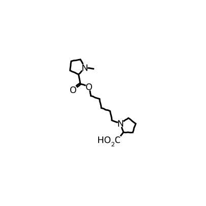 CN1CCCC1C(=O)OCCCCCN1CCCC1C(=O)O